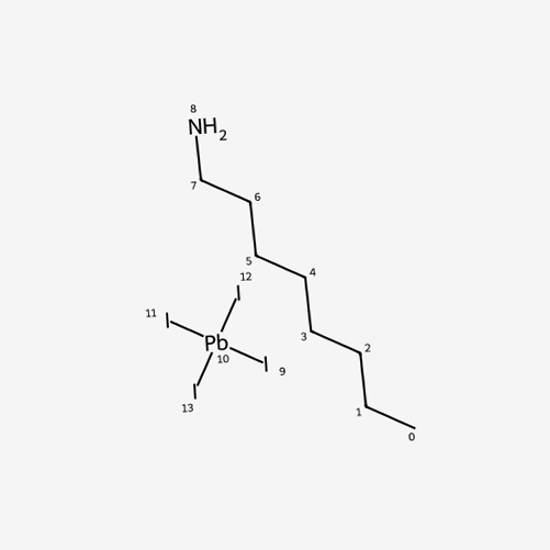 CCCCCCCCN.[I][Pb]([I])([I])[I]